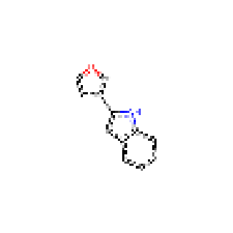 [c]1occc1-c1cc2ccccc2[nH]1